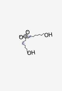 CO[C@H]1C[C@@H](OC)C(C/C=C\CCCCO)[C@@H]1/C=C/CCCCCCO